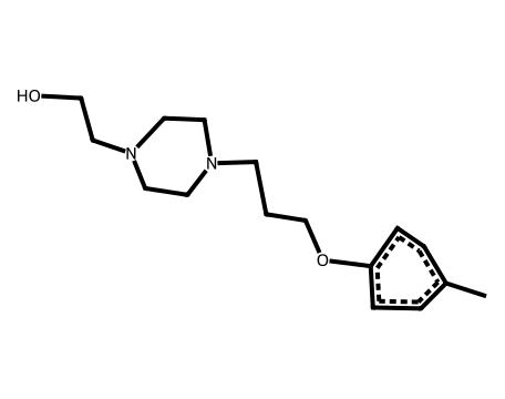 Cc1ccc(OCCCN2CCN(CCO)CC2)cc1